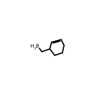 BCC1C=CCCC1